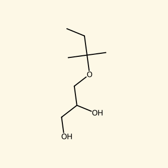 CCC(C)(C)OCC(O)CO